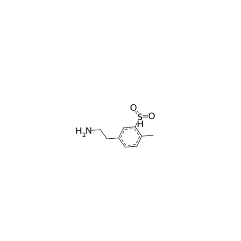 Cc1ccc(CCN)cc1[SH](=O)=O